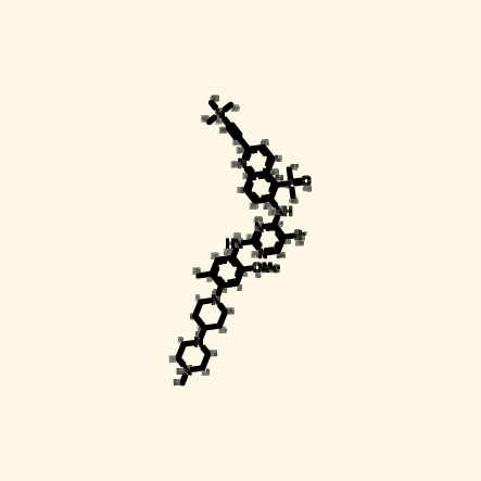 COc1cc(N2CCC(N3CCN(C)CC3)CC2)c(C)cc1Nc1ncc(Br)c(Nc2ccc3nc(C#C[Si](C)(C)C)ccc3c2P(C)(C)=O)n1